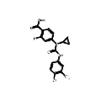 CNC(=O)c1ccc(N(C(=O)Nc2ccc(C#N)c(C(F)(F)F)c2)C2CC2)cc1F